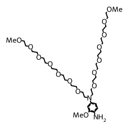 COCCOCCOCCOCCOCCOCCOCCN(CCOCCOCCOCCOCCOCCOCCOC)c1ccc(N)c(OC)c1